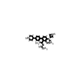 NN/N=C(\N)c1c(-c2ccc(C3CCNCC3)cc2)ccc([S+]([O-])C2CNC2)c1SN